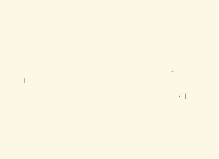 CC(F)CCCC(=O)CCCC(C)F